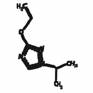 CCOc1ncn(C(C)C)n1